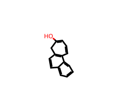 OC1=CC=Cc2c(ccc3ccccc23)C1